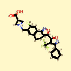 O=C(O)C1CN(Cc2cc3c(cc2F)-c2noc(-c4onc(-c5ccccc5)c4C(F)(F)F)c2CC3)C1